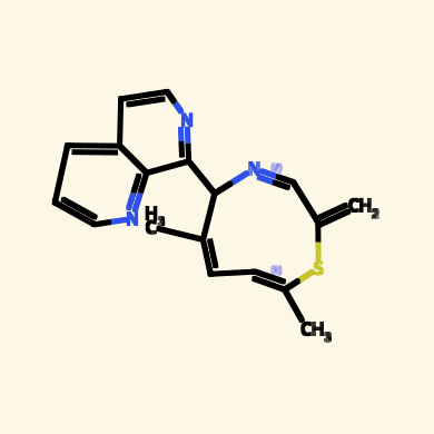 C=C1/C=N\C(c2nccc3cccnc23)C(C)=C/C=C(\C)S1